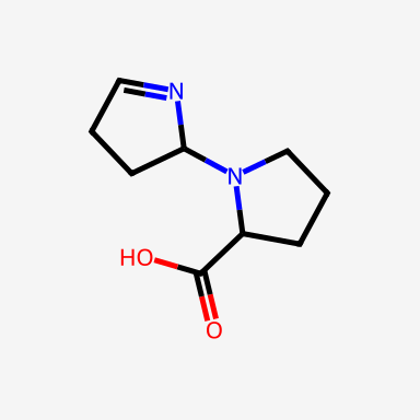 O=C(O)C1CCCN1C1CCC=N1